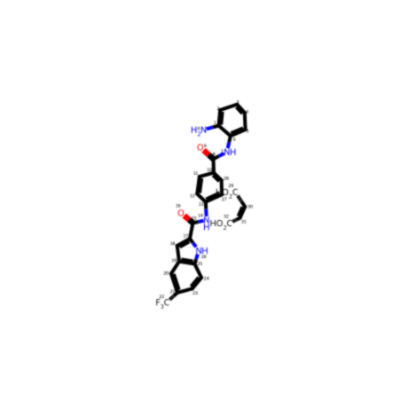 Nc1ccccc1NC(=O)c1ccc(NC(=O)c2cc3cc(C(F)(F)F)ccc3[nH]2)cc1.O=C(O)/C=C\C(=O)O